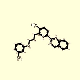 Cc1ccc(-c2ncc3ccccc3n2)nc1CCCOc1cccc(C(F)(F)F)c1